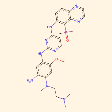 COc1cc(N(C)CCN(C)C)c(N)cc1Nc1nccc(Nc2ccc3nccnc3c2P(C)(C)=O)n1